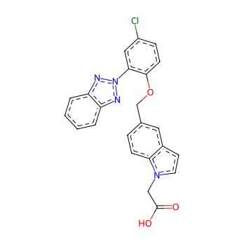 O=C(O)Cn1ccc2cc(COc3ccc(Cl)cc3-n3nc4ccccc4n3)ccc21